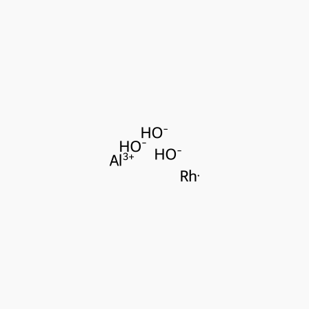 [Al+3].[OH-].[OH-].[OH-].[Rh]